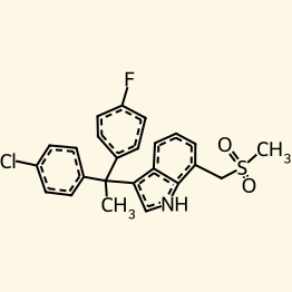 CC(c1ccc(F)cc1)(c1ccc(Cl)cc1)c1c[nH]c2c(CS(C)(=O)=O)cccc12